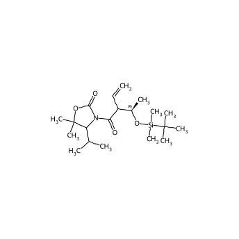 C=CC(C(=O)N1C(=O)OC(C)(C)C1C(C)C)[C@@H](C)O[Si](C)(C)C(C)(C)C